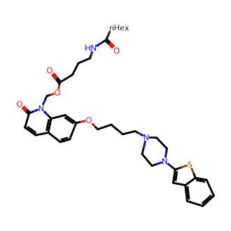 CCCCCCC(=O)NCCCC(=O)OCn1c(=O)ccc2ccc(OCCCCN3CCN(c4cc5ccccc5s4)CC3)cc21